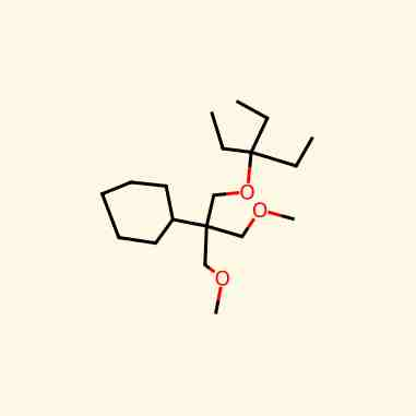 CCC(CC)(CC)OCC(COC)(COC)C1CCCCC1